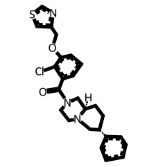 O=C(c1cccc(OCc2cscn2)c1Cl)N1CCN2C[C@@H](c3ccccc3)CC[C@@H]2C1